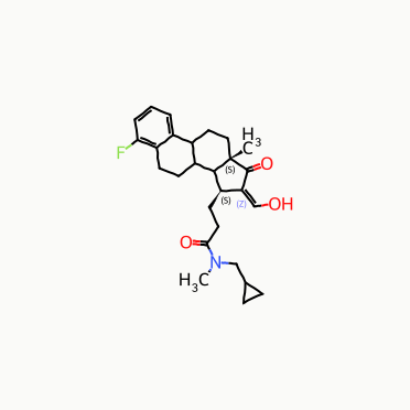 CN(CC1CC1)C(=O)CC[C@@H]1/C(=C/O)C(=O)[C@@]2(C)CCC3c4cccc(F)c4CCC3C12